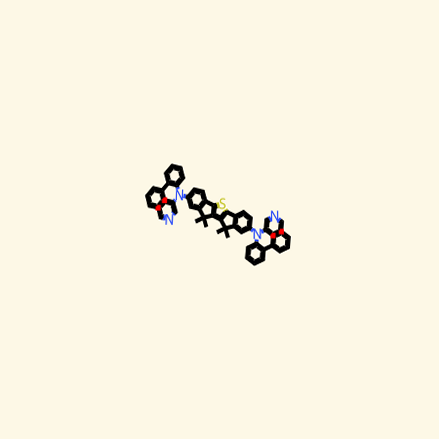 CC1(C)c2cc(N(c3cccnc3)c3ccccc3-c3ccccc3)ccc2-c2sc3c(c21)C(C)(C)c1cc(N(c2cccnc2)c2ccccc2-c2ccccc2)ccc1-3